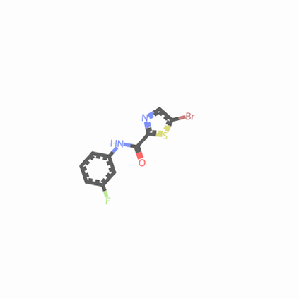 O=C(Nc1cccc(F)c1)c1ncc(Br)s1